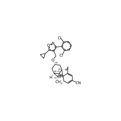 C[C@H]1C[C@@H]2C[C@@H](OCc3c(-c4c(Cl)cccc4Cl)noc3C3CC3)C[C@H]1[C@]2(O)C1CC=C(C#N)C=C1F